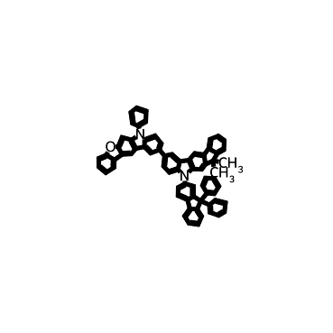 CC1(C)c2ccccc2-c2cc3c4cc(-c5ccc6c(c5)c5cc7c(cc5n6-c5ccccc5)oc5ccccc57)ccc4n(-c4ccc5c(c4)C(c4ccccc4)(c4ccccc4)c4ccccc4-5)c3cc21